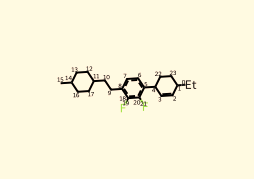 CCC1C=CC(c2ccc(CCC3CCC(C)CC3)c(F)c2F)CC1